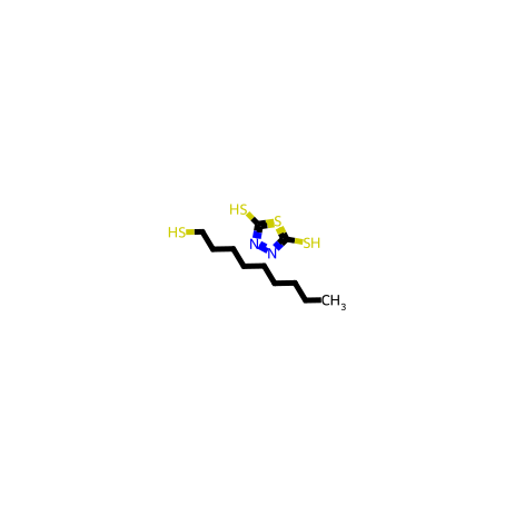 CCCCCCCCCS.Sc1nnc(S)s1